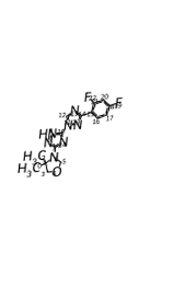 CC1(C)COCN1c1n[nH]c(-n2cnc(-c3ccc(F)cc3F)n2)n1